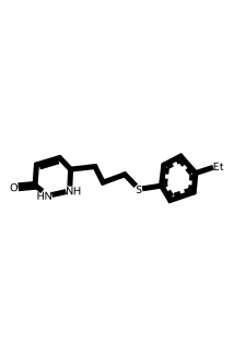 CCc1ccc(SCCCC2C=CC(=O)NN2)cc1